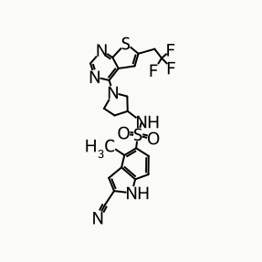 Cc1c(S(=O)(=O)NC2CCN(c3ncnc4sc(CC(F)(F)F)cc34)C2)ccc2[nH]c(C#N)cc12